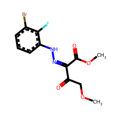 COCC(=O)C(=NNc1cccc(Br)c1F)C(=O)OC